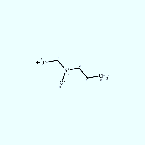 [CH2]CC[S+]([O-])C[CH2]